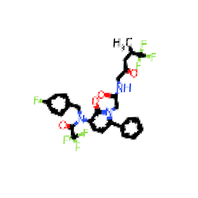 CC(CC(=O)CNC(=O)Cn1c(-c2ccccc2)ccc(N(Cc2ccc(F)cc2)C(=O)C(F)(F)F)c1=O)C(F)(F)F